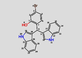 Oc1cc(Br)ccc1C(c1c[nH]c2ccccc12)c1c[nH]c2ccccc12